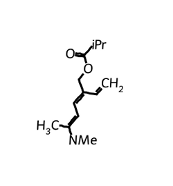 C=C/C(=C\C=C(/C)NC)COC(=O)C(C)C